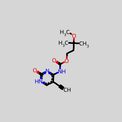 C#Cc1c[nH]c(=O)nc1NC(=O)OCCC(C)(C)OC